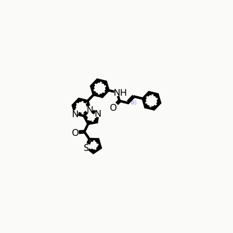 O=C(/C=C/c1ccccc1)Nc1cccc(-c2ccnc3c(C(=O)c4cccs4)cnn23)c1